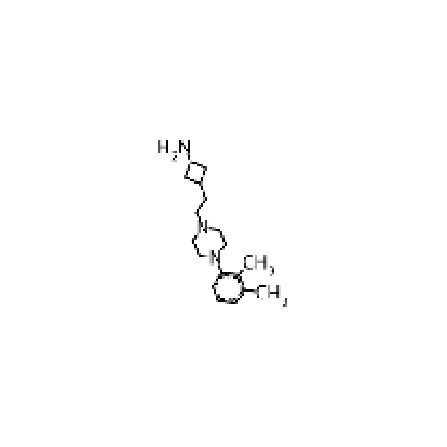 Cc1cccc(N2CCN(CCC3CC(N)C3)CC2)c1C